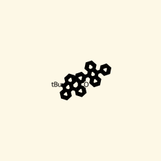 CC(C)(C)c1c2ccccc2c(-c2cccc3oc4c(-c5c6ccccc6c(-c6ccccc6)c6ccccc56)cccc4c23)c2ccccc12